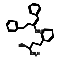 CCCCC(CCc1ccccc1)C(=O)O.O=C(O)C(=Cc1ccccc1)CCc1ccccc1